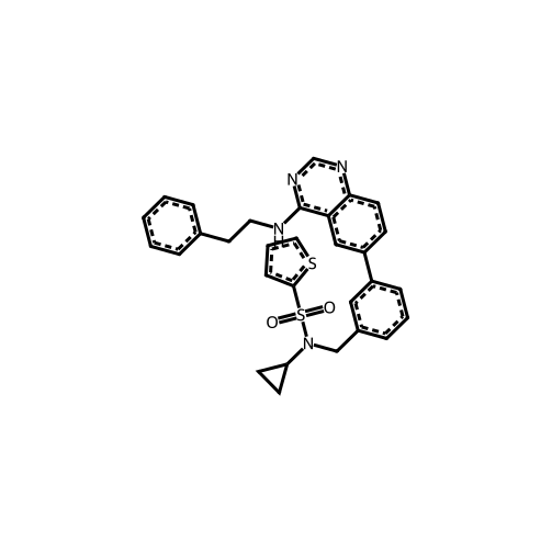 O=S(=O)(c1cccs1)N(Cc1cccc(-c2ccc3ncnc(NCCc4ccccc4)c3c2)c1)C1CC1